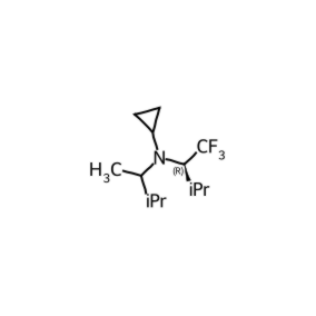 CC(C)C(C)N(C1CC1)[C@H](C(C)C)C(F)(F)F